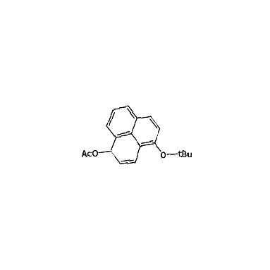 CC(=O)OC1C=Cc2c(OC(C)(C)C)ccc3cccc1c23